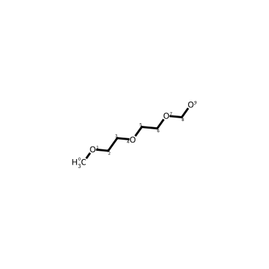 COCCOCCOC[O]